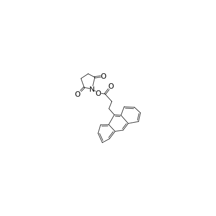 O=C(CCc1c2ccccc2cc2ccccc12)ON1C(=O)CCC1=O